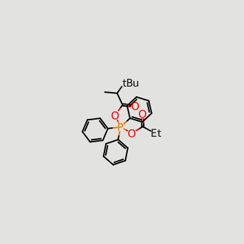 CCC(=O)OP(OC(=O)C(C)C(C)(C)C)(c1ccccc1)(c1ccccc1)c1ccccc1